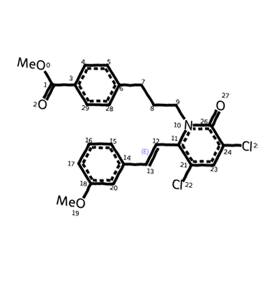 COC(=O)c1ccc(CCCn2c(/C=C/c3cccc(OC)c3)c(Cl)cc(Cl)c2=O)cc1